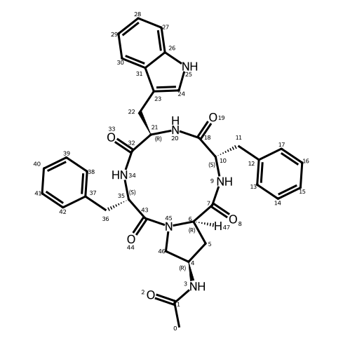 CC(=O)N[C@@H]1C[C@@H]2C(=O)N[C@@H](Cc3ccccc3)C(=O)N[C@H](Cc3c[nH]c4ccccc34)C(=O)N[C@@H](Cc3ccccc3)C(=O)N2C1